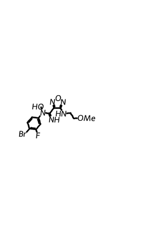 COCCNc1nonc1C(=N)N(O)c1ccc(Br)c(F)c1